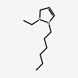 CCCCCCN1C=CCN1CC